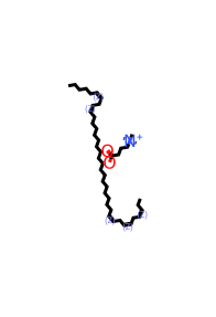 CC/C=C\C/C=C\C/C=C\CCCCCCCCC(CCCCCCCC/C=C\C/C=C\CCCCC)OC(=O)CCC[N+](C)(C)C